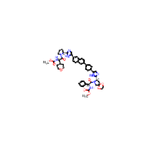 COC(=O)N[C@H](C(=O)N1CCC[C@H]1c1ncc(-c2ccc3cc(-c4ccc(-c5cnc([C@@H]6CC7(CN6C(=O)[C@H](NC(=O)OC)c6ccccc6)OCCO7)[nH]5)cc4)ccc3c2)[nH]1)C1CCOCC1